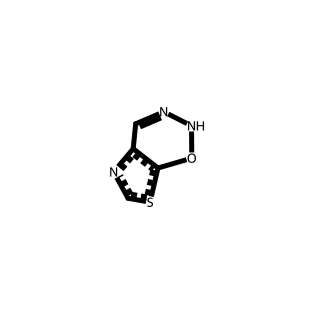 C1=NNOc2scnc21